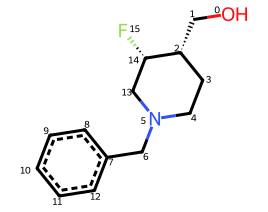 OC[C@@H]1CCN(Cc2ccccc2)C[C@@H]1F